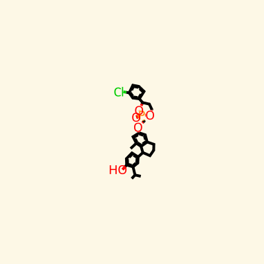 Cc1cc(OCP2(=O)OCCC(c3cccc(Cl)c3)O2)cc2c1C(c1ccc(O)c(C(C)C)c1)CCC2